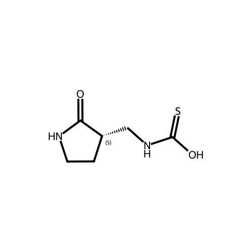 O=C1NCC[C@H]1CNC(O)=S